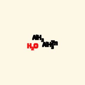 O.[AlH3].[AlH3].[Zn]